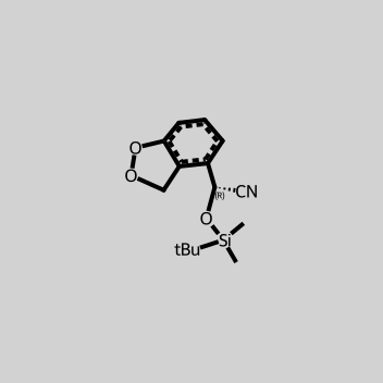 CC(C)(C)[Si](C)(C)O[C@@H](C#N)c1cccc2c1COO2